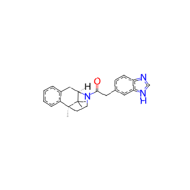 CC1(C)[C@H]2Cc3ccccc3[C@]1(C)CCN2C(=O)Cc1ccc2nc[nH]c2c1